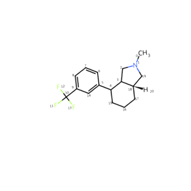 CN1CC2C(c3cccc(C(F)(F)F)c3)CCC[C@H]2C1